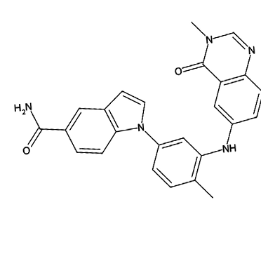 Cc1ccc(-n2ccc3cc(C(N)=O)ccc32)cc1Nc1ccc2ncn(C)c(=O)c2c1